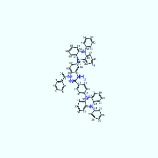 C=C(c1ccccc1)N(/N=C(\N)c1ccc(N2c3ccccc3N(c3ccccc3)c3ccccc32)cc1)c1ccc(N2c3ccccc3N(c3ccccc3)c3ccccc32)cc1